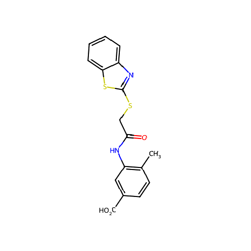 Cc1ccc(C(=O)O)cc1NC(=O)CSc1nc2ccccc2s1